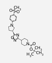 CC(C)(C)OC(=O)N1CCC(c2noc([C@H]3CCN(c4ccc(S(C)(=O)=O)cc4)C3)n2)CC1